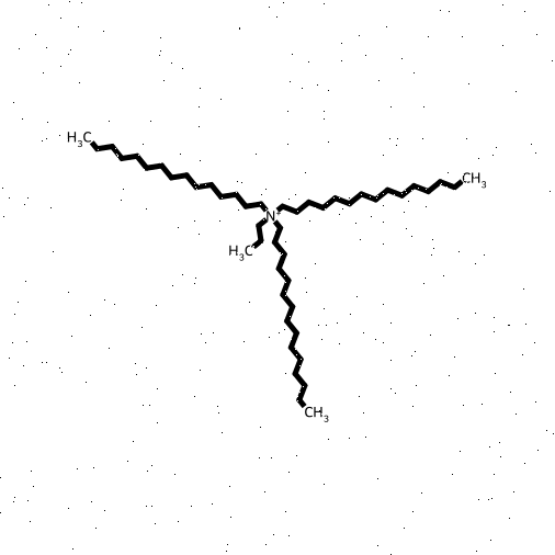 CCCCCCCCCCCCCCC[N+](CCC)(CCCCCCCCCCCCCCC)CCCCCCCCCCCCCCC